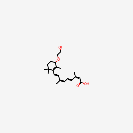 CC1=C(/C=C/C(C)=C\C=C\C(C)=C/C(=O)O)C(C)(C)CCC1OCCO